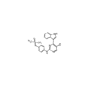 CS(C)(=O)=Nc1ccc(Nc2ncc(Cl)c(-c3c[nH]c4ccccc34)n2)cc1